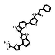 CC(=O)c1ccc(-c2cccc3[nH]c(-c4n[nH]c5ccc(-c6cncc(NC(=O)Cc7ccccc7)c6)nc45)nc23)s1